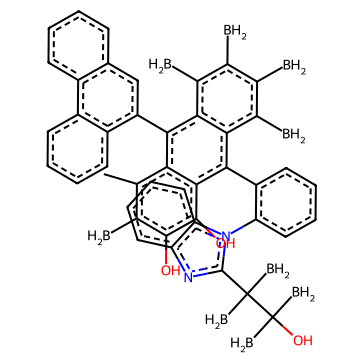 Bc1c(B)c(B)c2c(-c3ccccc3-n3c(C(B)(B)C(B)(B)O)nc4ccccc43)c3c(O)c(O)c(B)c(C)c3c(-c3cc4ccccc4c4ccccc34)c2c1B